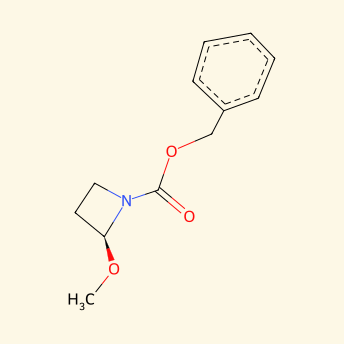 CO[C@H]1CCN1C(=O)OCc1ccccc1